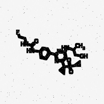 C[C@@H](CO)Nc1cc(C2(S(=O)(=O)C3CC3)CC2)nc(-c2ccc(NC(=O)NCCF)cc2)n1